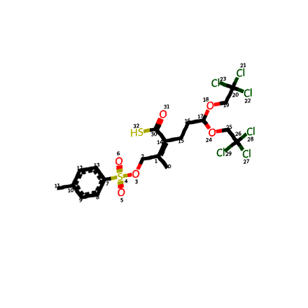 C/C(COS(=O)(=O)c1ccc(C)cc1)=C(\CCC(OCC(Cl)(Cl)Cl)OCC(Cl)(Cl)Cl)C(=O)S